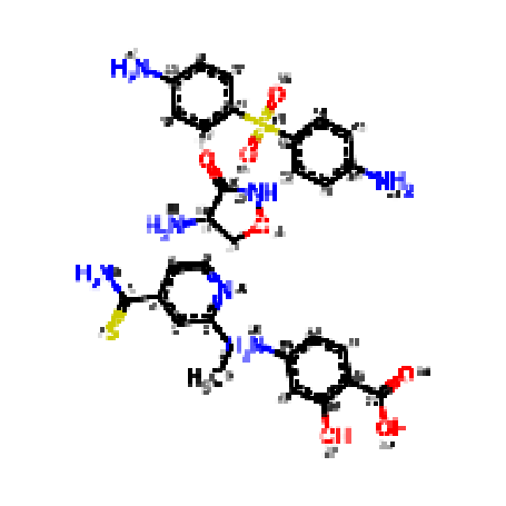 CCc1cc(C(N)=S)ccn1.N[C@@H]1CONC1=O.Nc1ccc(C(=O)O)c(O)c1.Nc1ccc(S(=O)(=O)c2ccc(N)cc2)cc1